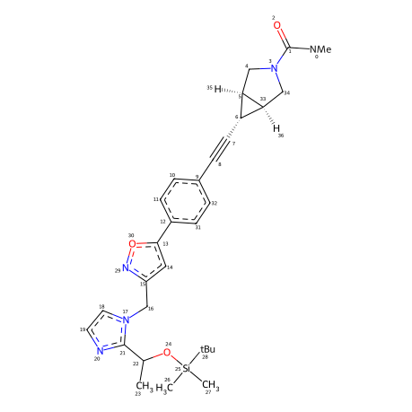 CNC(=O)N1C[C@@H]2[C@@H](C#Cc3ccc(-c4cc(Cn5ccnc5C(C)O[Si](C)(C)C(C)(C)C)no4)cc3)[C@@H]2C1